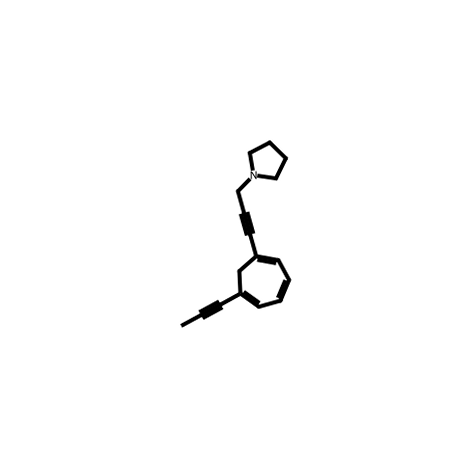 CC#CC1=CC=CC=C(C#CCN2CCCC2)C1